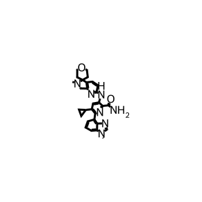 CN1Cc2nc(Nc3cc(C4CC4)c(-c4cccc5c4ncn5C)nc3C(N)=O)ccc2C12CCOCC2